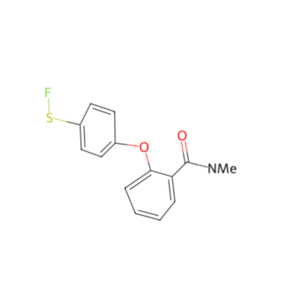 CNC(=O)c1ccccc1Oc1ccc(SF)cc1